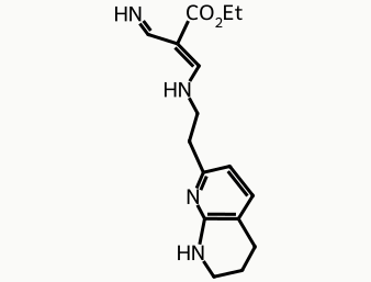 CCOC(=O)/C(C=N)=C/NCCc1ccc2c(n1)NCCC2